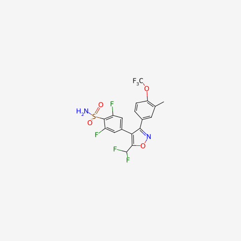 Cc1cc(-c2noc(C(F)F)c2-c2cc(F)c(S(N)(=O)=O)c(F)c2)ccc1OC(F)(F)F